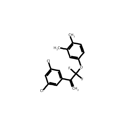 C=C(c1cc(Cl)cc(Cl)c1)C(F)(F)Oc1ccc(C)c(C)c1